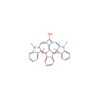 CN1/C(=C/C2=C(O)C(=C/C3=[N+](C)c4ccccc4C3(C)C)/C2=C2C(=O)c3ccccc3C2=O)C(C)(C)c2ccccc21